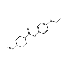 C=CC1CCC(C(=O)Oc2ccc(OCC)cc2)CC1